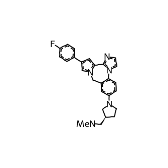 CNC[C@@H]1CCN(c2ccc3c(c2)Cn2cc(-c4ccc(F)cc4)cc2-c2nccn2-3)C1